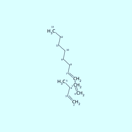 C=C.C=CCC.C=CCCCCCC